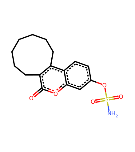 NS(=O)(=O)Oc1ccc2c3c(c(=O)oc2c1)CCCCCCC3